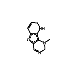 CN1CN=Cc2oc3c(c21)NCC=C3